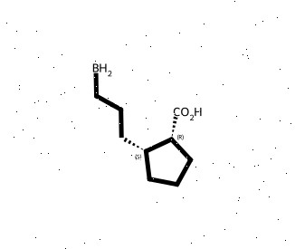 BCCC[C@H]1CCC[C@H]1C(=O)O